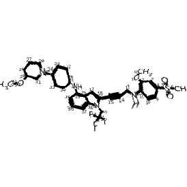 COc1cc(S(C)(=O)=O)ccc1NCC#Cc1cc2c(N[C@H]3CC[C@H](N4CCCC(OC)C4)CC3)cccc2n1CC(F)(F)F